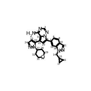 Nc1ncnn2c(-c3ccc4cnn(CC5CC5)c4c3)cc(-c3ccnn3C3CCOCC3)c12